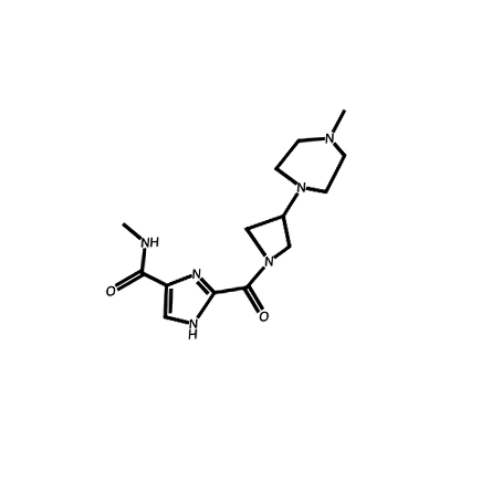 CNC(=O)c1c[nH]c(C(=O)N2CC(N3CCN(C)CC3)C2)n1